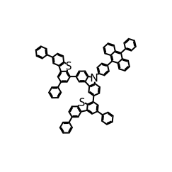 c1ccc(-c2ccc3sc4c(-c5ccc6c(c5)c5cc(-c7cc(-c8ccccc8)cc8c7sc7ccc(-c9ccccc9)cc78)ccc5n6-c5ccc(-c6c7ccccc7c(-c7ccccc7)c7ccccc67)cc5)cc(-c5ccccc5)cc4c3c2)cc1